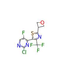 Fc1cnc(Cl)nc1-c1sc(C2COC2)nc1C(F)(F)F